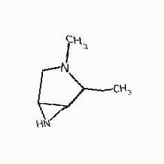 CC1C2NC2CN1C